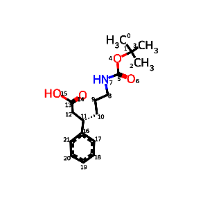 CC(C)(C)OC(=O)NCCC[C@@H](CC(=O)O)c1ccccc1